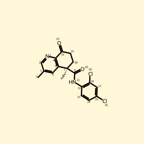 Cc1cnc2c(c1)[C@](F)(C(=O)Nc1ccc(Cl)cc1Cl)CCC2=O